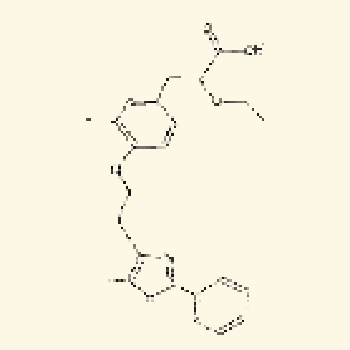 CCOC(Cc1ccc(OCCc2nc(-c3ccccc3)oc2C)c(C)c1)C(=O)O